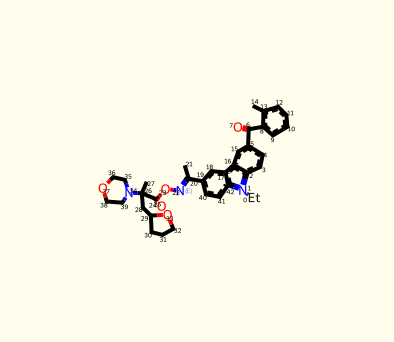 CCn1c2ccc(C(=O)c3ccccc3C)cc2c2cc(/C(C)=N/OC(=O)C(C)(CC3CCCO3)N3CCOCC3)ccc21